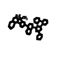 CC1(C)c2cc(-c3ccc(-c4nc(-c5ccccc5)cc(-c5ccccc5-c5ccccc5)n4)c4ccccc34)ccc2-c2c1ccc1ccccc21